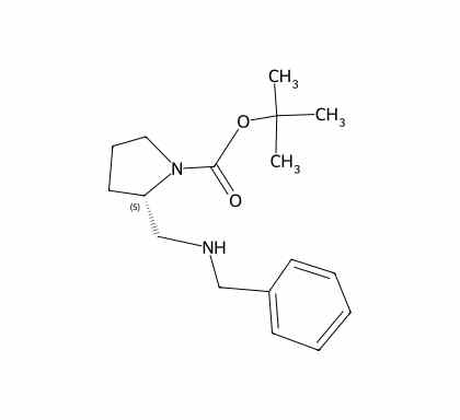 CC(C)(C)OC(=O)N1CCC[C@H]1CNCc1ccccc1